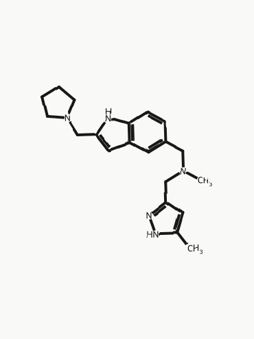 Cc1cc(CN(C)Cc2ccc3[nH]c(CN4CCCC4)cc3c2)n[nH]1